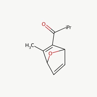 CC1=C(C(=O)C(C)C)C2C=CC1O2